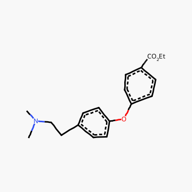 CCOC(=O)c1ccc(Oc2ccc(CCN(C)C)cc2)cc1